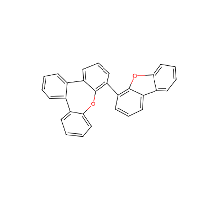 c1ccc2c(c1)Oc1c(cccc1-c1cccc3c1oc1ccccc13)-c1ccccc1-2